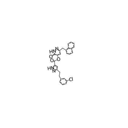 O=C(Oc1cc(Cc2cccc3ccccc23)n[nH]c1=O)c1cc(CCc2cccc(Cl)c2)n[nH]1